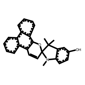 CN1c2ccc(O)cc2C(C)(C)C12C=Cc1c(c3ccccc3c3ccccc13)O2